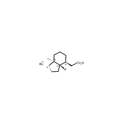 CC[C@H](C)[C@H]1CC[C@H]2[C@H](CC(=O)O)CCC[C@]12C